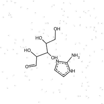 Nc1ncc[nH]1.O=CC(O)C(O)C(O)CO